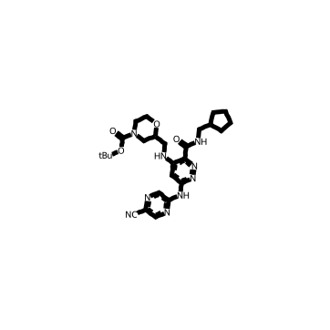 CC(C)(C)OC(=O)N1CCOC(CNc2cc(Nc3cnc(C#N)cn3)nnc2C(=O)NCC2CCCC2)C1